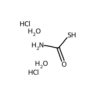 Cl.Cl.NC(=O)S.O.O